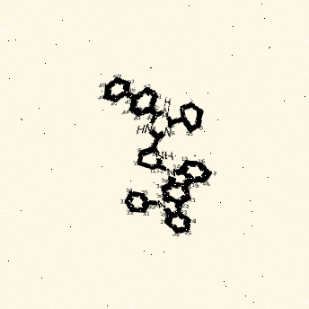 C1=CCCC(C2N=C(C3=CCCC(n4c5ccccc5c5cc6c7ccccc7n(-c7ccccc7)c6cc54)N3)NC(c3ccc(-c4ccccc4)cc3)N2)=C1